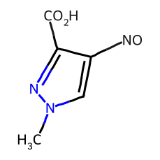 Cn1cc(N=O)c(C(=O)O)n1